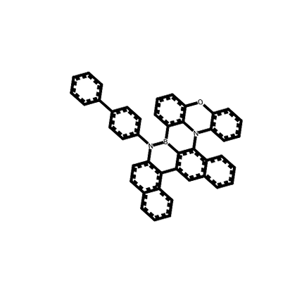 c1ccc(-c2ccc(N3B4c5cccc6c5N(c5ccccc5O6)c5c4c(cc4ccccc54)-c4c3ccc3ccccc43)cc2)cc1